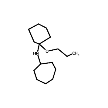 CCCOC1(NC2CCCCCC2)CCCCC1